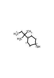 CCC(C)(C)C1CCC(S)CC1